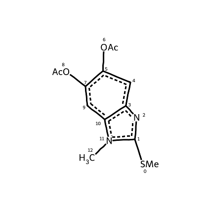 CSc1nc2cc(OC(C)=O)c(OC(C)=O)cc2n1C